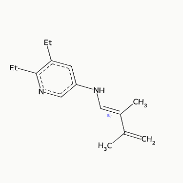 C=C(C)/C(C)=C/Nc1cnc(CC)c(CC)c1